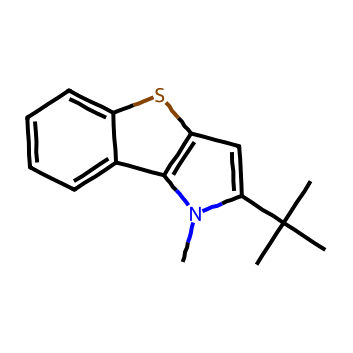 Cn1c(C(C)(C)C)cc2sc3ccccc3c21